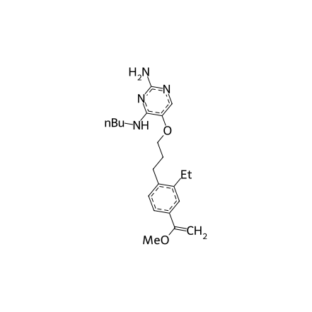 C=C(OC)c1ccc(CCCOc2cnc(N)nc2NCCCC)c(CC)c1